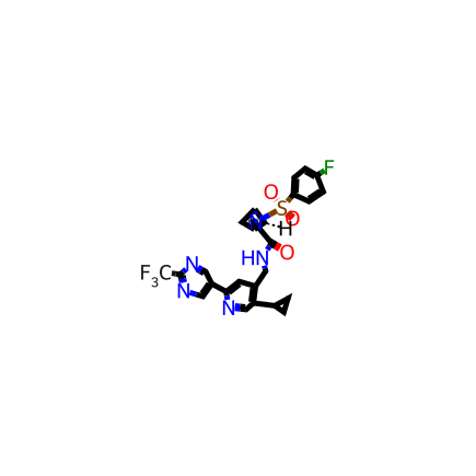 O=C(NCc1cc(-c2cnc(C(F)(F)F)nc2)ncc1C1CC1)[C@@H]1C2CC(C2)N1S(=O)(=O)c1ccc(F)cc1